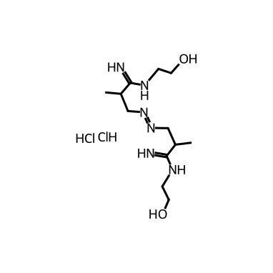 CC(CN=NCC(C)C(=N)NCCO)C(=N)NCCO.Cl.Cl